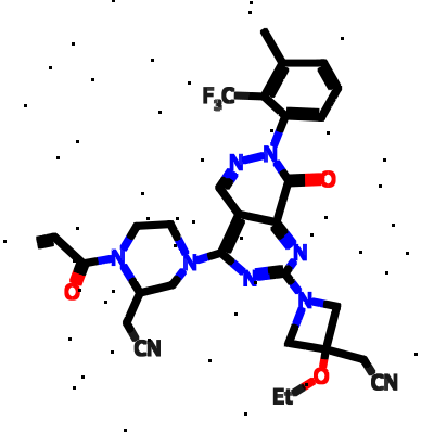 C=CC(=O)N1CCN(c2nc(N3CC(CC#N)(OCC)C3)nc3c(=O)n(-c4cccc(C)c4C(F)(F)F)ncc23)CC1CC#N